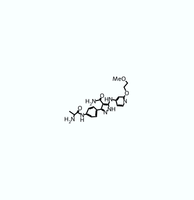 COCCOc1cc(Nc2[nH]nc(-c3ccc(NC(=O)C(C)N)cc3)c2C(N)=O)ccn1